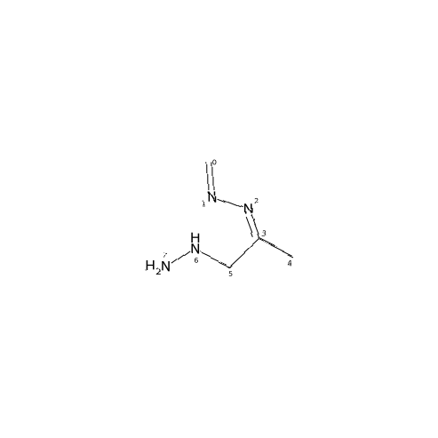 C=N/N=C(/C)CNN